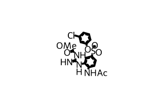 COC(=O)NC(=N)Nc1cc(S(=O)(=O)Oc2cccc(Cl)c2)ccc1NC(C)=O